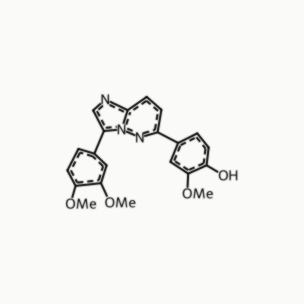 COc1cc(-c2ccc3ncc(-c4ccc(OC)c(OC)c4)n3n2)ccc1O